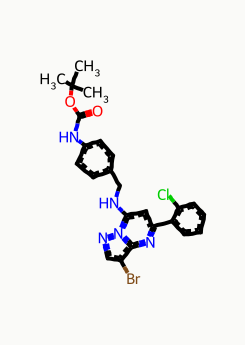 CC(C)(C)OC(=O)Nc1ccc(CNc2cc(-c3ccccc3Cl)nc3c(Br)cnn23)cc1